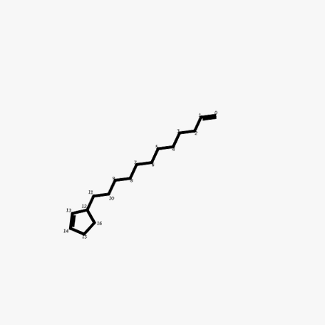 C=CCCCCCCCCCCC1C=CCC1